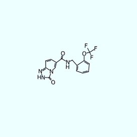 O=C(NCc1ccccc1OC(F)(F)F)c1ccc2n[nH]c(=O)n2c1